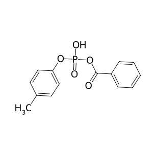 Cc1ccc(OP(=O)(O)OC(=O)c2ccccc2)cc1